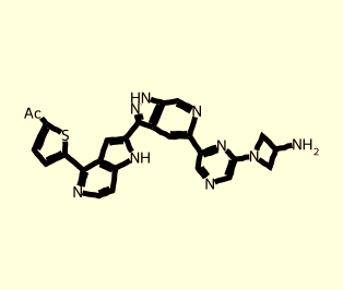 CC(=O)c1ccc(-c2nccc3[nH]c(-c4n[nH]c5cnc(-c6cncc(N7CC(N)C7)n6)cc45)cc23)s1